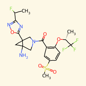 CC(F)c1noc(C23CN(C(=O)c4cc(S(C)(=O)=O)ccc4O[C@H](C)C(F)(F)F)CC2(N)C3)n1